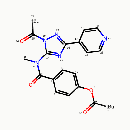 CN(C(=O)c1ccc(OC(=O)C(C)(C)C)cc1)c1nc(-c2ccncc2)nn1C(=O)C(C)(C)C